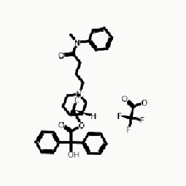 CN(C(=O)CCC[N+]12CCC(CC1)[C@@H](OC(=O)C(O)(c1ccccc1)c1ccccc1)C2)c1ccccc1.O=C([O-])C(F)(F)F